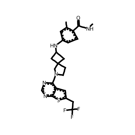 CNC(=O)c1ccc(NC2CC3(CCN(c4ncnc5sc(CC(F)(F)F)cc45)C3)C2)cc1C